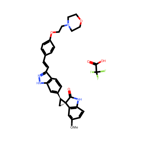 COc1ccc2c(c1)[C@]1(C[C@H]1c1ccc3c(/C=C/c4ccc(OCCN5CCOCC5)cc4)n[nH]c3c1)C(=O)N2.O=C(O)C(F)(F)F